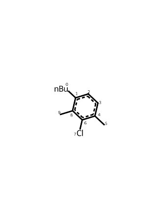 CCCCc1ccc(C)c(Cl)c1C